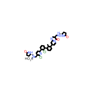 Cc1c(-c2ccn3c(=O)c(CNC[C@@H]4CCC(=O)N4)cnc3c2)cccc1-c1cccc(-c2ccc(CN(C[C@@H]3CCC(=O)N3)C(=O)O)c(Cl)n2)c1Cl